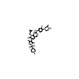 Cc1nn(S(=O)(=O)C2CCN(C)CC2)c(C)c1-c1cc2cnc(Nc3ccc(N4CCNC(C)C4)c(F)c3)nc2n(CC2CC2)c1=O